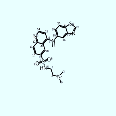 CN(C)CCNS(=O)(=O)c1ccc2nccc(Nc3ccc4scnc4c3)c2c1